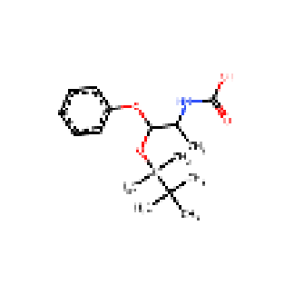 CC(NC(=O)O)C(Oc1ccccc1)O[Si](C)(C)C(C)(C)C